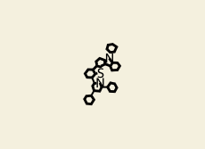 c1ccc(-c2cc(-c3ccccc3)nc(-c3cccc4c3sc3c4ccc4c3c3ccccc3n4-c3ccccc3)c2)cc1